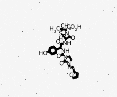 CC1(C)S[C@@H]2[C@H](NC(=O)C(NC(=O)N3CCN(/N=C/c4ccco4)C3=O)c3ccc(O)cc3)C(=O)N2[C@H]1C(=O)O